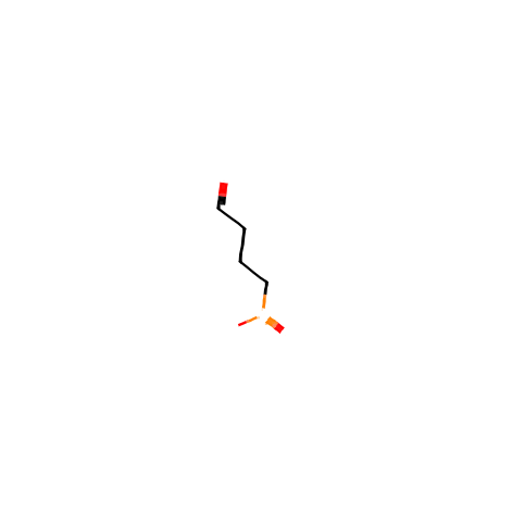 O=CCCC[PH](=O)O